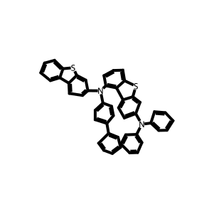 c1ccc(-c2ccc(N(c3ccc4c(c3)sc3ccccc34)c3cccc4sc5cc(N(c6ccccc6)c6ccccc6)ccc5c34)cc2)cc1